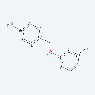 [CH]c1cccc(OCc2ccc(C(F)(F)F)cc2)c1